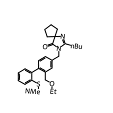 CCCCC1=NC2(CCCC2)C(=O)N1Cc1ccc(-c2ccccc2SNC)c(COCC)c1